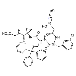 CCC/C=C/[C@@H](O)CC(=O)N[C@H](Cc1cccc(Cl)c1)C(=O)N[C@H](CSC(c1ccccc1)(c1ccccc1)c1ccccc1)C(=O)NC1(C(=O)NCC(=O)O)CC1